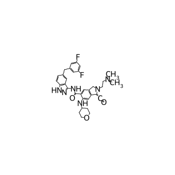 CN(C)CCN1Cc2cc(C(=O)Nc3n[nH]c4ccc(Cc5cc(F)cc(F)c5)cc34)c(NC3CCOCC3)cc2C1=C=O